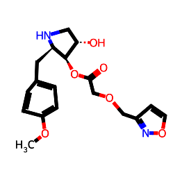 COc1ccc(C[C@H]2NC[C@H](O)[C@H]2OC(=O)COCc2ccon2)cc1